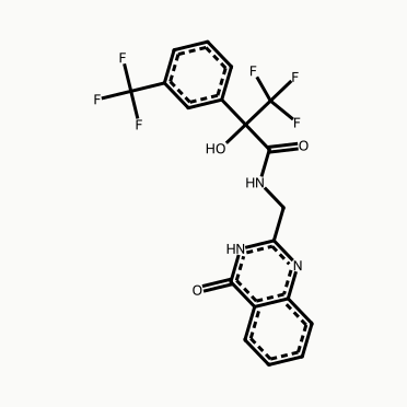 O=C(NCc1nc2ccccc2c(=O)[nH]1)C(O)(c1cccc(C(F)(F)F)c1)C(F)(F)F